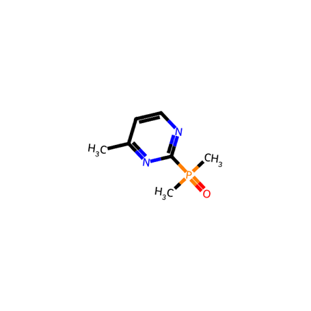 Cc1ccnc(P(C)(C)=O)n1